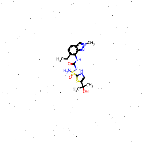 CCc1ccc2cn(C)nc2c1NC(=O)N=S(N)(=O)C1NC=C(C(C)(C)O)S1